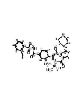 CC(C)(C)OC(=O)N1CC[C@@H](C2CCCCC2)[C@H]1C(=O)Nc1ccc(C(=O)NS(=O)(=O)c2ccccc2F)cc1